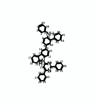 c1ccc(Nc2ccc(-c3ccc4c(c3)C3=CC=CC[C@H]3N4c3cc(-c4ccccc4)nc(-c4ccccc4)n3)cc2-c2ccccc2)cc#1